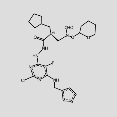 O=CN(C[C@H](CC1CCCC1)C(=O)NNc1nc(Cl)nc(NCc2ccsc2)c1F)OC1CCCCO1